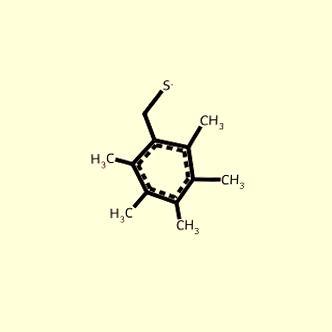 Cc1c(C)c(C)c(C[S])c(C)c1C